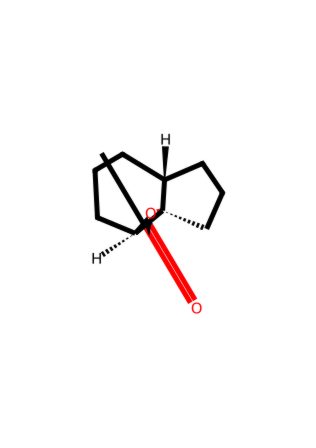 O=C1C[C@@H]2CCC[C@@H]3CCC[C@]32O1